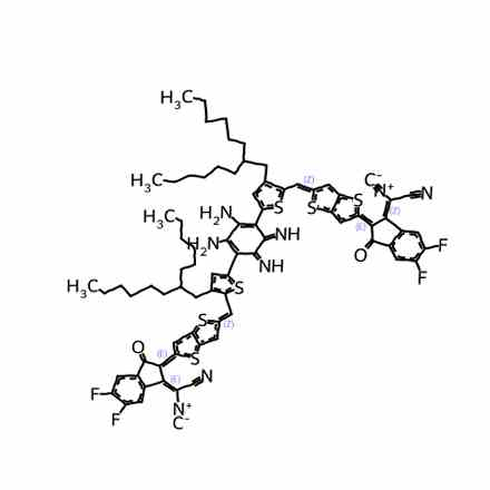 [C-]#[N+]/C(C#N)=C1\C(=c2\cc3s/c(=C\c4sc(C5=C(N)C(N)=C(c6cc(CC(CCCCCC)CCCCCC)c(/C=c7/cc8s/c(=C9/C(=O)c%10cc(F)c(F)cc%10/C9=C(/C#N)[N+]#[C-])cc8s7)s6)C(=N)C5=N)cc4CC(CCCCCC)CCCCCC)cc3s2)C(=O)c2cc(F)c(F)cc21